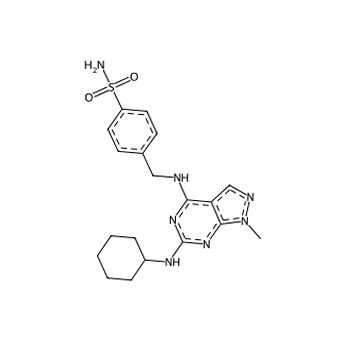 Cn1ncc2c(NCc3ccc(S(N)(=O)=O)cc3)nc(NC3CCCCC3)nc21